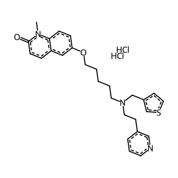 Cl.Cl.Cn1c(=O)ccc2cc(OCCCCCN(CCc3cccnc3)Cc3ccsc3)ccc21